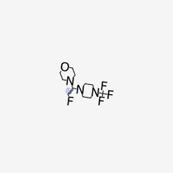 F/C=C(/N1CCOCC1)N1CCN(C(F)(F)F)CC1